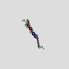 CCCCCCCCOc1cnc(-c2ccc(C(=O)Oc3ccc(C(=O)O[C@@H](CCCC)C(F)(F)F)cc3)cc2)nc1